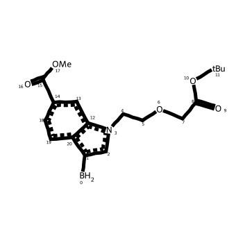 Bc1cn(CCOCC(=O)OC(C)(C)C)c2cc(C(=O)OC)ccc12